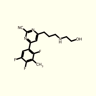 Cc1c(F)c(F)cc(-c2cc(CCCNCCO)nc(C#N)n2)c1F